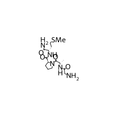 CSCC[C@H](NC(=O)[C@@H]1CCCN1C(=O)[C@H](C)NC(=O)CN)C(N)=O